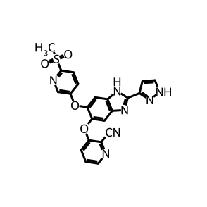 CS(=O)(=O)c1ccc(Oc2cc3[nH]c(-c4cc[nH]n4)nc3cc2Oc2cccnc2C#N)cn1